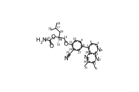 Cc1nc2nccc(-c3ccc(OC[C@](C)(CC(C)C)OC(N)=O)c(C#N)c3)c2nc1C